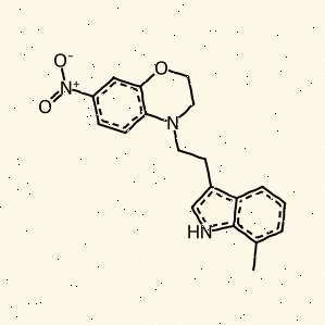 Cc1cccc2c(CCN3CCOc4cc([N+](=O)[O-])ccc43)c[nH]c12